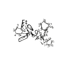 CCc1cccc2c1C(=O)N(OC(C)C(F)CN(Cc1ccccc1)Cc1ccccc1)C2=O